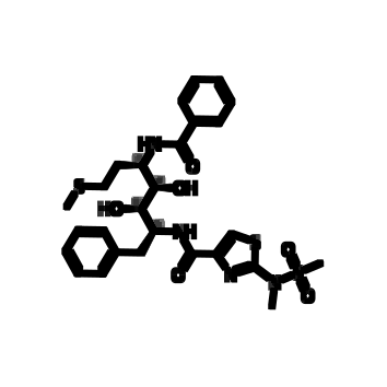 CSCC[C@@H](NC(=O)c1ccccc1)[C@@H](O)[C@H](O)[C@H](Cc1ccccc1)NC(=O)c1csc(N(C)S(C)(=O)=O)n1